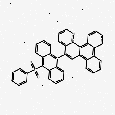 O=S(=O)(c1ccccc1)c1c2ccccc2c(-c2nc3c4ccccc4c4ccccc4c3c3ncccc23)c2ccccc12